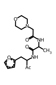 CC(=O)C(Cc1ccco1)NC(=O)C(C)NC(=O)CN1CCOCC1